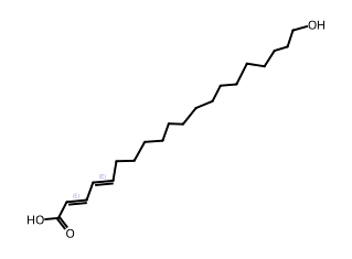 O=C(O)/C=C/C=C/CCCCCCCCCCCCCCCO